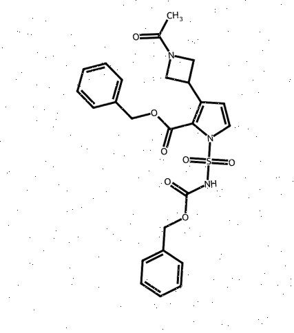 CC(=O)N1CC(c2ccn(S(=O)(=O)NC(=O)OCc3ccccc3)c2C(=O)OCc2ccccc2)C1